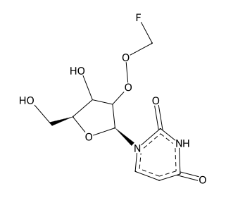 O=c1ccn([C@H]2O[C@@H](CO)C(O)C2OOCF)c(=O)[nH]1